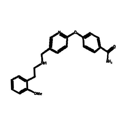 COc1ccccc1CCNCc1ccc(Oc2ccc(C(N)=O)cc2)nc1